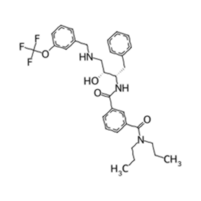 CCCN(CCC)C(=O)c1cccc(C(=O)N[C@@H](Cc2ccccc2)[C@H](O)CNCc2cccc(OC(F)(F)F)c2)c1